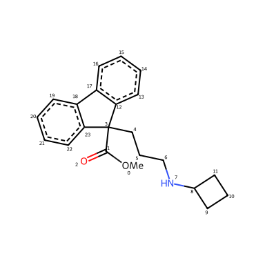 COC(=O)C1(CCCNC2CCC2)c2ccccc2-c2ccccc21